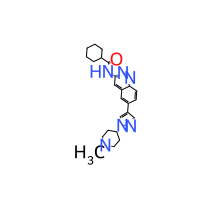 CN1CCC(n2cc(-c3ccc4nnc(NC(=O)C5CCCCC5)cc4c3)cn2)CC1